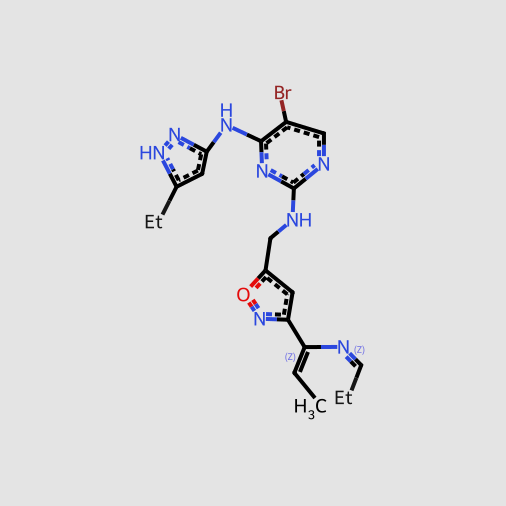 C/C=C(\N=C/CC)c1cc(CNc2ncc(Br)c(Nc3cc(CC)[nH]n3)n2)on1